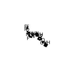 O=C(NC12CC(C1)C2)O[C@H]1CC[C@@H](c2cc(Nc3ncc(F)c4nc(COC(F)(F)F)cn34)n[nH]2)[C@H]1F